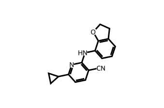 N#Cc1ccc(C2CC2)nc1Nc1cccc2c1OCC2